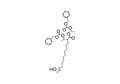 CC(OC(=O)OCc1ccccc1)OC(=O)C(CCCCCCCCCC(=O)O)C(C)OC(=O)OCc1ccccc1